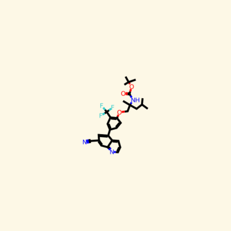 CC(C)CC(C)(COc1ccc(-c2cc(C#N)cc3ncccc23)cc1C(F)(F)F)NC(=O)OC(C)(C)C